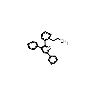 CCCc1ccccc1-c1sc(-c2ccccc2)cc1-c1ccccc1